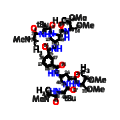 CN[C@@H](C)C(=O)N[C@H](C(=O)N1C[C@@H](NC(=O)c2cccc(C(=O)N[C@H]3C[C@@H](C(=O)N[C@H](COC)[C@@H](C)OC)N(C(=O)[C@@H](NC(=O)[C@H](C)NC)C(C)(C)C)C3)c2)C[C@H]1C(=O)N[C@H](COC)[C@@H](C)OC)C(C)(C)C